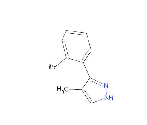 Cc1c[nH]nc1-c1ccccc1C(C)C